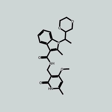 COc1cc(C)[nH]c(=O)c1CNC(=O)c1c(C)n(C(C)C2COCCO2)c2ccccc12